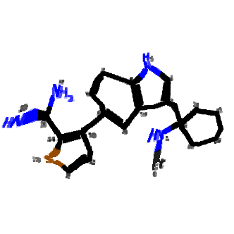 CCNC1(c2c[nH]c3ccc(-c4ccsc4C(=N)N)cc23)CCCC1